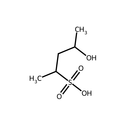 CC(O)CC(C)S(=O)(=O)O